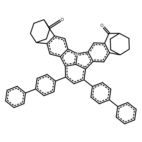 O=C1c2cc3c(cc2C2CCC1CC2)c1c(-c2ccc(-c4ccccc4)cc2)cc(-c2ccc(-c4ccccc4)cc2)c2c4cc5c(cc4n3c12)C(=O)C1CCC5CC1